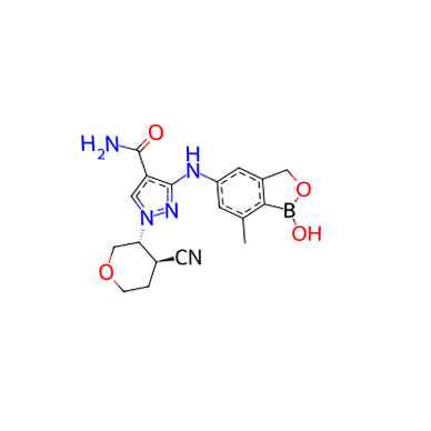 Cc1cc(Nc2nn([C@H]3COCC[C@@H]3C#N)cc2C(N)=O)cc2c1B(O)OC2